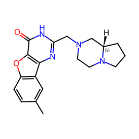 Cc1ccc2oc3c(=O)[nH]c(CN4CCN5CCC[C@H]5C4)nc3c2c1